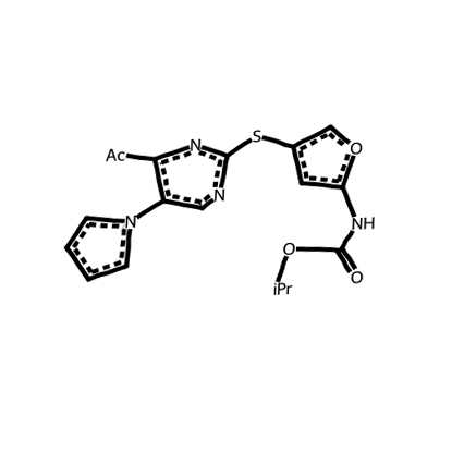 CC(=O)c1nc(Sc2coc(NC(=O)OC(C)C)c2)ncc1-n1cccc1